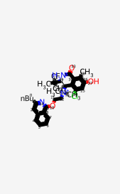 CCCCc1cc2ccccc2c(OCC[N+](C)(C)[C@H](CC(C)(C)C(F)(F)F)c2c(Cl)cc(O)c(C)c2C(N)=O)n1